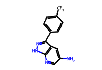 Nc1cnc2[nH]nc(-c3ccc(C(F)(F)F)cc3)c2c1